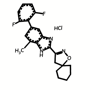 Cc1cc(-c2c(F)cccc2F)cc2nc(C3=NOC4(CCCCC4)C3)[nH]c12.Cl